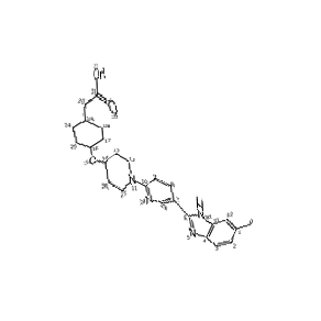 Cc1ccc2nc(-c3ccc(N4CCC(OC5CCC(CC(=O)O)CC5)CC4)nc3)[nH]c2c1